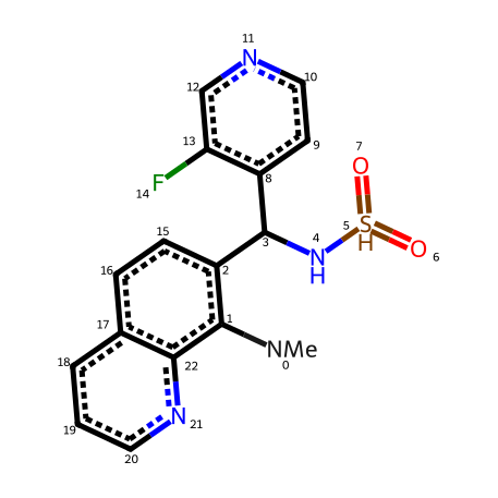 CNc1c(C(N[SH](=O)=O)c2ccncc2F)ccc2cccnc12